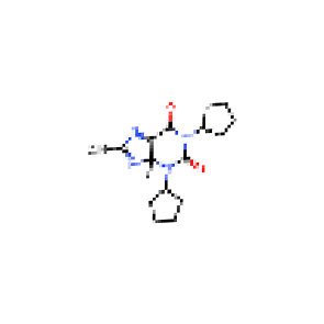 CC12N=C([N+](=O)[O-])N=C1C(=O)N(C1CCCC1)C(=O)N2C1CCCC1